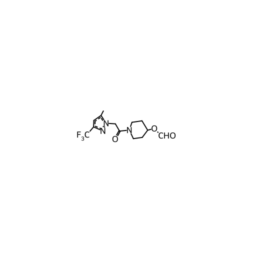 Cc1cc(C(F)(F)F)nn1CC(=O)N1CCC(OC=O)CC1